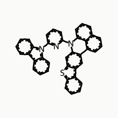 c1cc(N2c3cc4sc5ccccc5c4cc3-c3cccc4cccc2c34)nc(-n2c3ccccc3c3ccccc32)c1